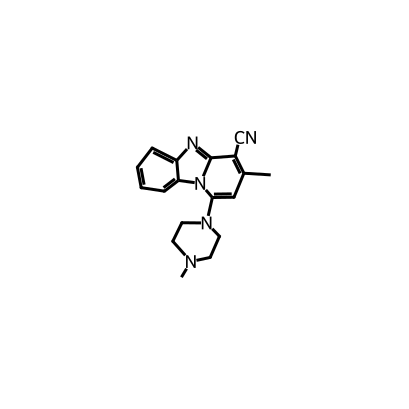 Cc1cc(N2CCN(C)CC2)n2c(nc3ccccc32)c1C#N